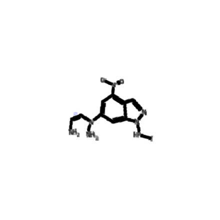 N/C=C\N(N)c1cc([N+](=O)[O-])c2cnn(PI)c2c1